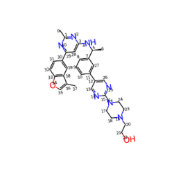 Cc1nc(N[C@@H](C)c2cccc(-c3cnc(N4CCN(CCO)CC4)nc3)c2)cc(-c2ccc3occ(C)c3c2)n1